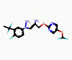 CC(F)(F)c1cc(N(N)/C=C(\N)COc2ncc(OC(F)F)cn2)ccc1F